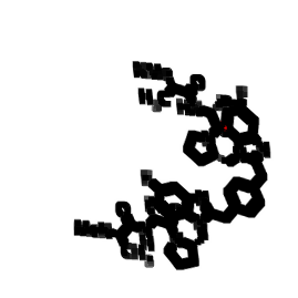 CN[C@H](C)C(=O)N[C@@H](C(=O)N1CCC[C@H]1Cn1c(Cc2ccc(Cc3nc4cc(F)ccc4n3C[C@@H]3CCCN3C(=O)[C@H](NC(=O)[C@@H](C)NC)C(C)C)cc2)nc2cc(F)ccc21)C(C)C